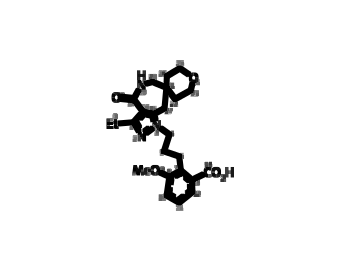 CCc1nn(CCCc2c(OC)cccc2C(=O)O)c2c1C(=O)NCC1(CCOCC1)C2